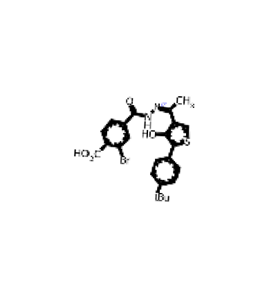 C/C(=N/NC(=O)c1ccc(C(=O)O)c(Br)c1)c1csc(-c2ccc(C(C)(C)C)cc2)c1O